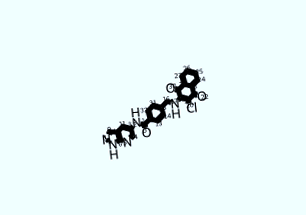 O=C(Nc1cnc2[nH]ncc2c1)c1ccc(CNC2=C(Cl)C(=O)c3ccccc3C2=O)cc1